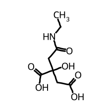 CCNC(=O)CC(O)(CC(=O)O)C(=O)O